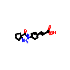 NC1(C(=O)Nc2ccc(/C=C/C(=O)O)cc2)CCCC1